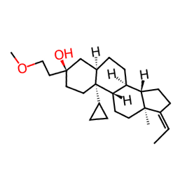 C/C=C1/CC[C@H]2[C@@H]3CC[C@@H]4C[C@@](O)(CCOC)CC[C@]4(C4CC4)[C@H]3CC[C@]12C